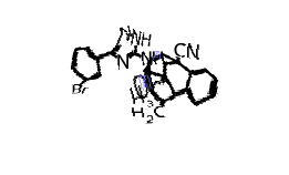 C=C1/C=C\C=C/C2(C#N)CC(C)(C(=O)Nc3nc(-c4cccc(Br)c4)n[nH]3)C1c1ccccc12